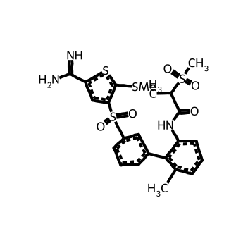 CSc1sc(C(=N)N)cc1S(=O)(=O)c1cccc(-c2c(C)cccc2NC(=O)C(C)S(C)(=O)=O)c1